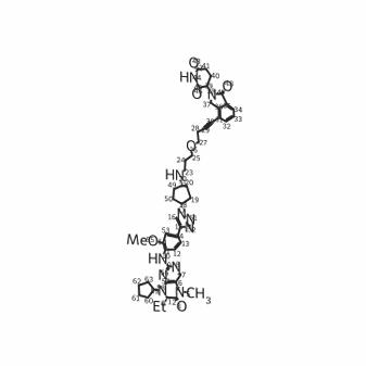 CC[C@@H]1C(=O)N(C)c2cnc(Nc3ccc(-c4cn([C@H]5CC[C@@H](NCCCOCCC#Cc6cccc7c6CN(C6CCC(=O)NC6=O)C7=O)CC5)nn4)cc3OC)nc2N1C1CCCC1